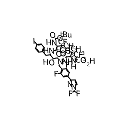 CC(C)(C)OC(=O)NC(C(=O)NC(Cc1ccc(I)cc1)C(O)CN(Cc1c(F)cc(-c2ccn(C(F)F)n2)cc1F)NC(=O)C(NC(=O)O)C(C)(C)C(F)(F)F)C(C)(C)C(F)(F)F